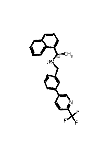 C[C@@H](NCc1cccc(-c2ccc(C(F)(F)F)nc2)c1)c1cccc2ccccc12